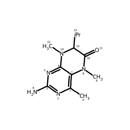 Cc1nc(N)nc2c1N(C)C(=O)C(C(C)C)N2C